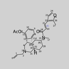 C=CCN1CC[C@@]2(c3cccc(OC(C)=O)c3)C[C@H](N(C)C(=O)/C=C/c3ccoc3C)CC[C@@H]2C1